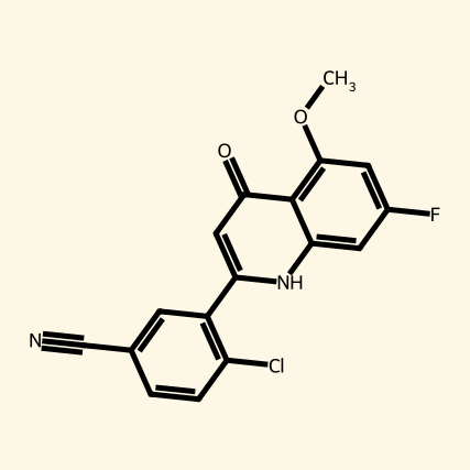 COc1cc(F)cc2[nH]c(-c3cc(C#N)ccc3Cl)cc(=O)c12